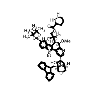 CCn1c(-c2cc([C@@H]3C[C@H]4COC[C@](CC5c6ccccc6-c6ccccc65)(C3)N4C(=O)O)cnc2[C@H](C)OC)c(CC(C)(C)COC(=O)C2CCCNN2)c2cc(B3OC(C)(C)C(C)(C)O3)ccc21